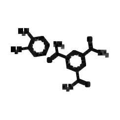 NC(=O)c1cc(C(N)=O)cc(C(N)=O)c1.Nc1ccccc1N